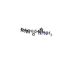 N/C=C(\C=C/Cc1ccc(-c2ccc3c4ccc(-c5ccc(-c6ccc(-c7ccccn7)cn6)nc5)cc4c4ccccc4c3c2)cn1)c1ccccn1